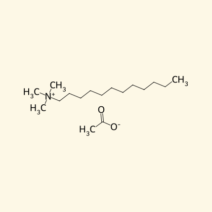 CC(=O)[O-].CCCCCCCCCCCC[N+](C)(C)C